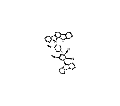 N#CC1=C(n2c3ccccc3c3ccc4c5ccccc5oc4c32)C=C[C@H](c2c(C#N)cc(N3c4ccccc4C4C=CC=CC43)c(C#N)c2C#N)C1